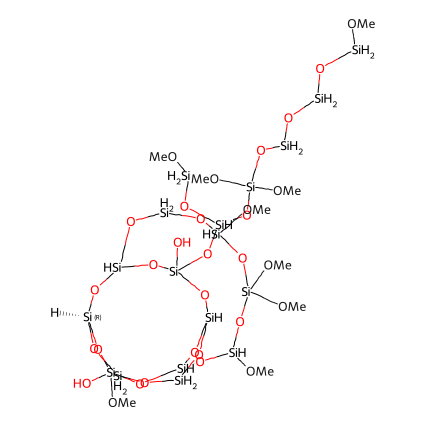 CO[SiH2]O[SiH2]O[SiH2]O[Si](OC)(OC)O[SiH](O[SiH2]OC)O[Si]1(O)O[SiH]2O[SiH2]O[SiH2]O[Si@@H]3O[SiH](O[SiH2]O[SiH](OC)O[Si](OC)(OC)O[SiH](OC)O[SiH](O2)O[Si](O)(OC)O3)O1